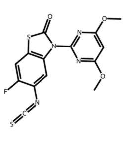 COc1cc(OC)nc(-n2c(=O)sc3cc(F)c(N=C=S)cc32)n1